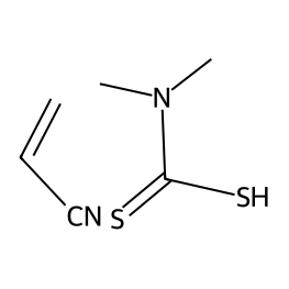 C=CC#N.CN(C)C(=S)S